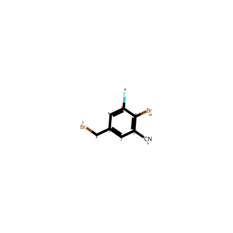 N#Cc1cc(CBr)cc(F)c1Br